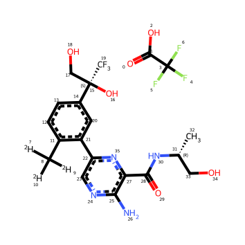 O=C(O)C(F)(F)F.[2H]C([2H])([2H])c1ccc([C@](O)(CO)C(F)(F)F)cc1-c1cnc(N)c(C(=O)N[C@H](C)CO)n1